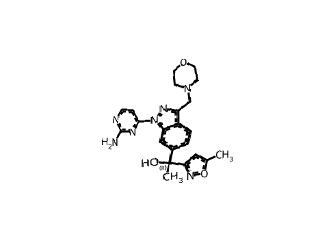 Cc1cc([C@](C)(O)c2ccc3c(CN4CCOCC4)nn(-c4ccnc(N)n4)c3c2)no1